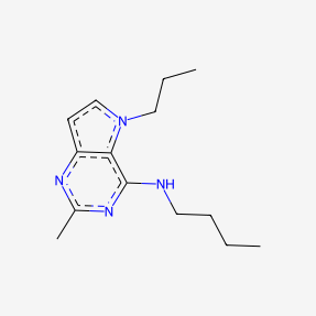 CCCCNc1nc(C)nc2ccn(CCC)c12